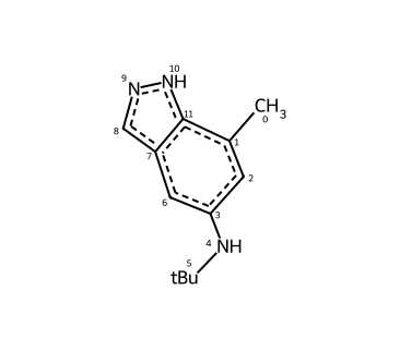 Cc1cc(NC(C)(C)C)cc2cn[nH]c12